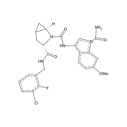 COc1ccc2c(NC(=O)N3[C@@H]4CC4C[C@H]3C(=O)NCc3cccc(Cl)c3F)cn(C(N)=O)c2c1